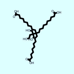 O=C(O)CCCCCCCCCC(CCCCCCCCCC(=O)O)(CCCCCCCCCC(=O)O)C(CO)(CO)CCO